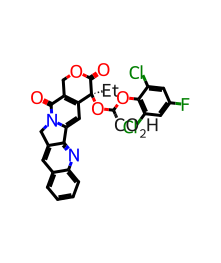 CC[C@@]1(OC(Oc2c(Cl)cc(F)cc2Cl)C(=O)O)C(=O)OCc2c1cc1n(c2=O)Cc2cc3ccccc3nc2-1